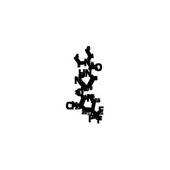 CCN(CC)C(=O)N/C=C\C(=N/C)Oc1ncc(C(F)(F)F)cc1Cl